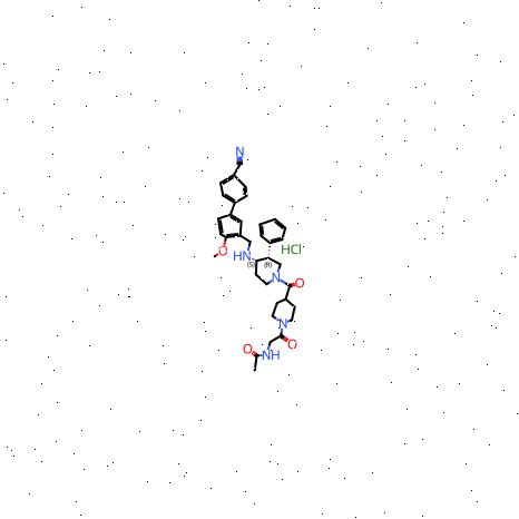 COc1ccc(-c2ccc(C#N)cc2)cc1CN[C@H]1CCN(C(=O)C2CCN(C(=O)CNC(C)=O)CC2)C[C@H]1c1ccccc1.Cl